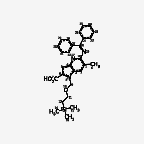 Cc1cc2c(cc(C(=O)O)n2COCC[Si](C)(C)C)nc1N=C(c1ccccc1)c1ccccc1